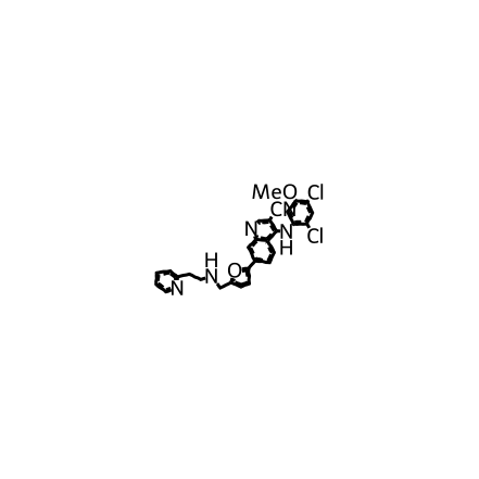 COc1cc(Nc2c(C#N)cnc3cc(-c4ccc(CNCCc5ccccn5)o4)ccc23)c(Cl)cc1Cl